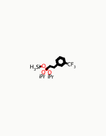 CC(C)OC(CCc1cccc(C(F)(F)F)c1)(O[SiH3])OC(C)C